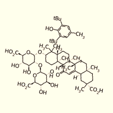 CC1(C)[C@@H](O[C@H]2O[C@H](C(=O)O)[C@@H](O)[C@H](O)[C@H]2O[C@@H]2O[C@H](C(=O)O)[C@@H](O)[C@H](O)[C@H]2O)CC[C@]2(C)[C@H]3C(=O)C=C4[C@@H]5C[C@@](C)(C(=O)O)CC[C@]5(C)CC[C@@]4(C)[C@]3(C)CC[C@@H]12.Cc1cc(C(C)(C)C)c(O)c(C(C)(C)C)c1